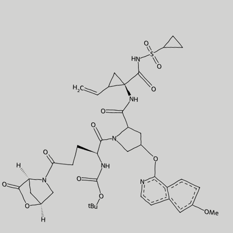 C=CC1C[C@]1(NC(=O)C1CC(Oc2nccc3cc(OC)ccc23)CN1C(=O)[C@H](CCC(=O)N1C[C@@H]2C[C@H]1C(=O)O2)NC(=O)OC(C)(C)C)C(=O)NS(=O)(=O)C1CC1